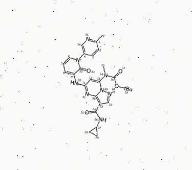 Cc1ccc(-n2cccc(Nc3cc(N(C)C(=O)OC(C)(C)C)n4ncc(C(=O)NC5CC5)c4n3)c2=O)cn1